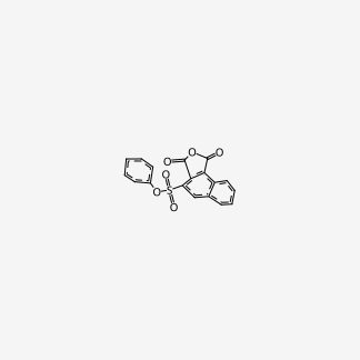 O=C1OC(=O)c2c1c(S(=O)(=O)Oc1ccccc1)cc1ccccc21